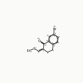 CCSC=C1CCc2ccc(Br)cc2C1=O